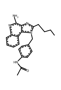 CCCCc1nc2c(N)nc3ccccc3c2n1Cc1ccc(NC(C)=O)cc1